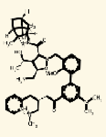 COc1c(CN2O[C@@H](CN)[C@@H]([C@H](C)O)[C@H]2C(=O)N[C@H]2C[C@H]3C[C@@H]([C@@H]2C)C3(C)C)cccc1-c1cc(C(=O)C[C@@H](Cc2ccccn2)CN(C)C)cc(N(C)C)c1